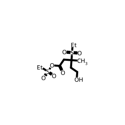 CCS(=O)(=O)OC(=O)CC(C)(CCO)S(=O)(=O)CC